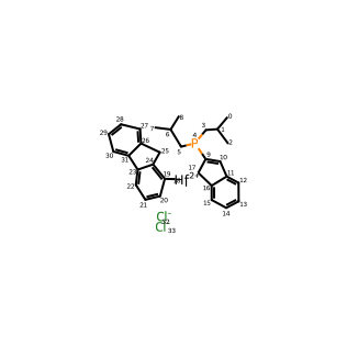 CC(C)CP(CC(C)C)C1=Cc2ccccc2[CH]1[Hf+2][c]1cccc2c1Cc1ccccc1-2.[Cl-].[Cl-]